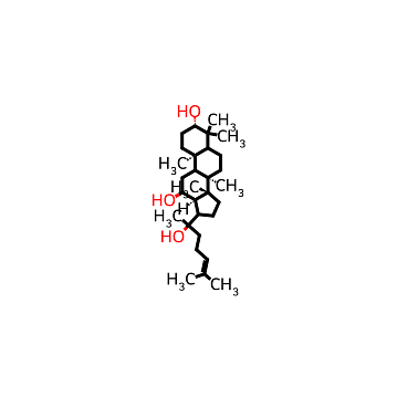 CC(C)=CCCC(C)(O)C1CC[C@]2(C)[C@@H]1C(O)CC1[C@@]3(C)CC[C@H](O)C(C)(C)C3CC[C@]12C